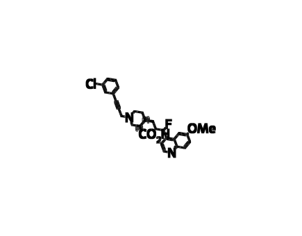 COc1ccc2nccc(C(F)CC[C@@H]3CCN(CC#Cc4cccc(Cl)c4)C[C@@H]3C(=O)O)c2c1